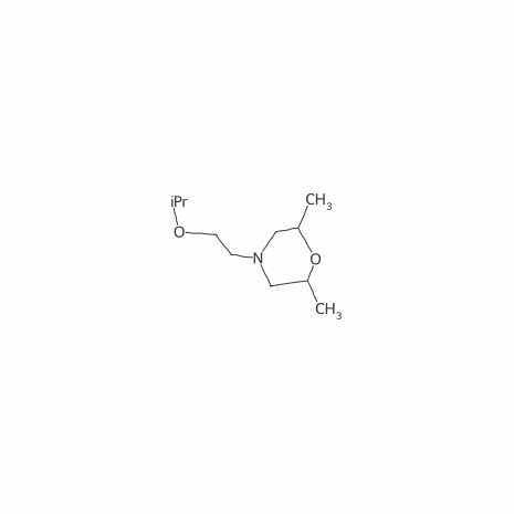 CC(C)OCCN1CC(C)OC(C)C1